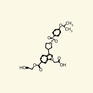 C#CCOC(=O)c1ccc2c(C3CCN(S(=O)(=O)c4ccc(OC(C)C)cc4)C3)cn(CC(=O)O)c2c1